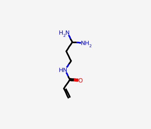 C=CC(=O)NCCC(N)N